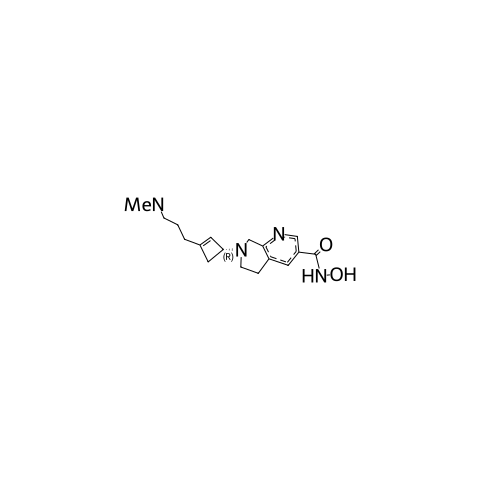 CNCCCC1=C[C@H](N2CCc3cc(C(=O)NO)cnc3C2)C1